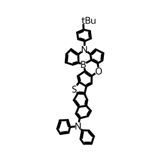 CC(C)(C)c1ccc(N2c3ccccc3B3c4cc5sc6cc7cc(N(c8ccccc8)c8ccccc8)ccc7cc6c5cc4Oc4cccc2c43)cc1